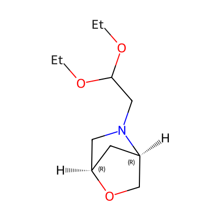 CCOC(CN1C[C@H]2C[C@@H]1CO2)OCC